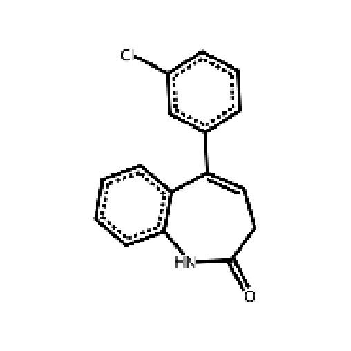 O=C1CC=C(c2cccc(Cl)c2)c2ccccc2N1